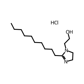 CCCCCCCCCCC1=NCCN1CCO.Cl